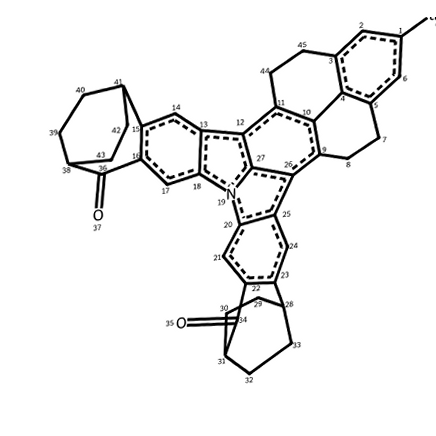 CC(C)(C)c1cc2c3c(c1)CCc1c-3c(c3c4cc5c(cc4n4c6cc7c(cc6c1c34)C1CCC(CC1)C7=O)C(=O)C1CCC5CC1)CC2